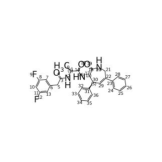 C[C@H](NC(=O)Cc1cc(F)cc(F)c1)C(=O)N[C@@H]1C(=O)NCC(c2ccccc2)=C[C@H]1c1ccccc1